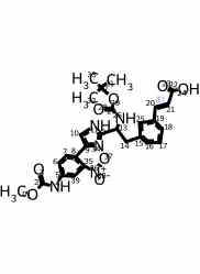 COC(=O)Nc1ccc(-c2c[nH]c(C(Cc3cccc(/C=C/C(=O)O)c3)NC(=O)OC(C)(C)C)n2)c([N+](=O)[O-])c1